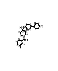 Cc1ccc(-c2ccc3[nH]c4c(c3c2)CN(C(=O)c2cccc(C)c2)CC4)cc1